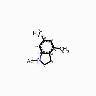 CC(=O)N1CCc2c(C)cc(C)cc21